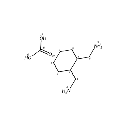 NCC1CCCCC1CN.O=C(O)O